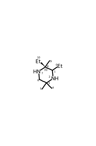 CCC1NC(C)(C)CN[C@@]1(C)CC